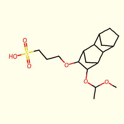 COC(C)OC1C2CC(C1OCCCS(=O)(=O)O)C1C3CCC(C3)C21